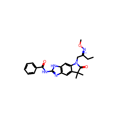 CC/C(CN1C(=O)C(C)(C)c2cc3nc(NC(=O)c4ccccc4)[nH]c3cc21)=N/OC